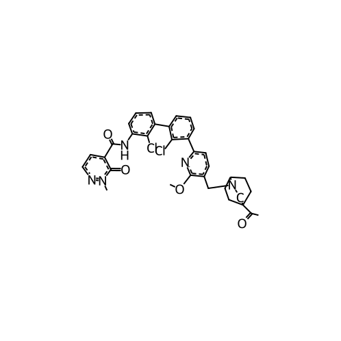 COc1nc(-c2cccc(-c3cccc(NC(=O)c4ccnn(C)c4=O)c3Cl)c2Cl)ccc1CN1CC2(C(C)=O)CCC1CC2